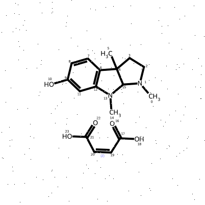 CN1CCC2(C)c3ccc(O)cc3N(C)C12.O=C(O)/C=C\C(=O)O